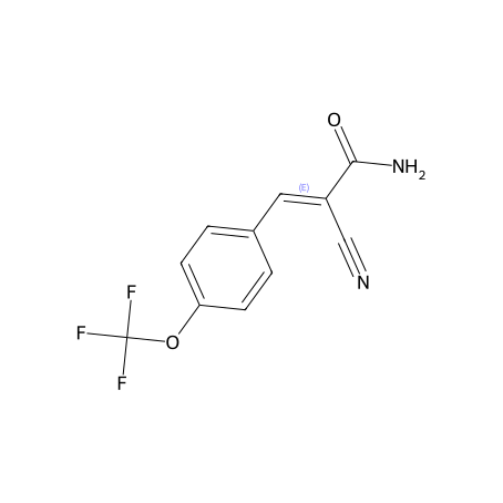 N#C/C(=C\c1ccc(OC(F)(F)F)cc1)C(N)=O